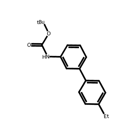 CCc1ccc(-c2cccc(NC(=O)OC(C)(C)C)c2)cc1